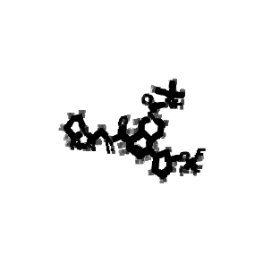 CC(C)(C)NC(=O)N1CCc2c(-c3cccc(OC(F)(F)F)c3)ccc(C(=O)NCc3nnc4n3CCC4)c2C1